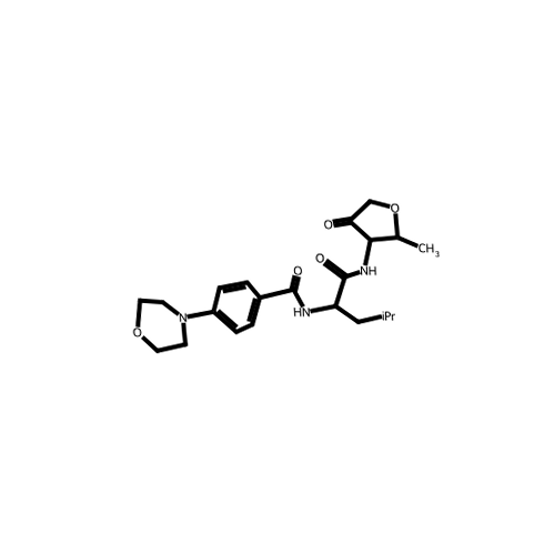 CC(C)CC(NC(=O)c1ccc(N2CCOCC2)cc1)C(=O)NC1C(=O)COC1C